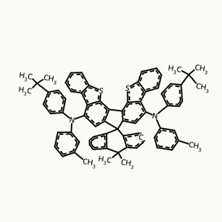 Cc1cccc(N(c2ccc(C(C)(C)C)cc2)c2cc3c(c4sc5ccccc5c24)-c2c(cc(N(c4ccc(C(C)(C)C)cc4)c4cccc(C)c4)c4c2sc2ccccc24)C32c3ccccc3C(C)(C)c3ccccc32)c1